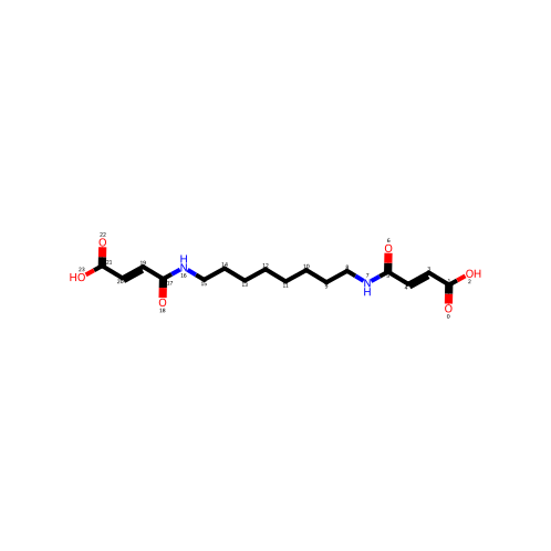 O=C(O)C=CC(=O)NCCCCCCCCNC(=O)C=CC(=O)O